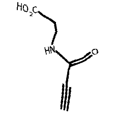 C#CC(=O)NCC(=O)O